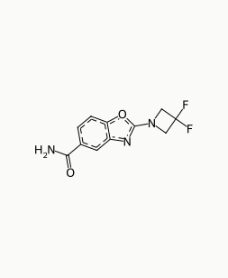 NC(=O)c1ccc2oc(N3CC(F)(F)C3)nc2c1